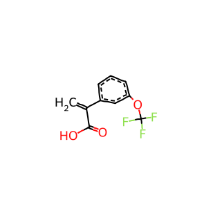 C=C(C(=O)O)c1cccc(OC(F)(F)F)c1